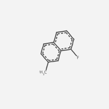 [CH2]c1ccc2cccc(F)c2c1